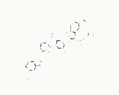 CO[C@@H]1COC[C@H]1n1c(Cc2cc(F)c(-c3cccc(OCc4ccc(C#N)cc4F)n3)cc2F)nc2c(F)cc(C(=O)O)cc21